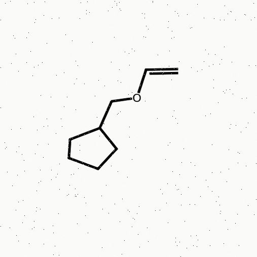 C=COCC1CCCC1